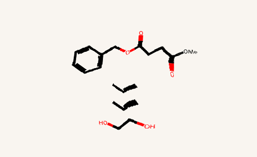 C=CC.C=CC.COC(=O)CCC(=O)OCc1ccccc1.OCCO